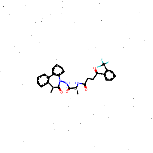 CC1C(=O)N(NC(=O)[C@H](C)NC(=O)CCC(=O)c2ccccc2C(F)(F)F)c2ccccc2-c2ccccc21